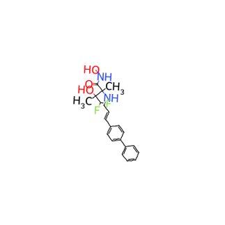 CC(NC/C=C/c1ccc(-c2ccccc2)cc1)(C(=O)NO)C(C)(O)C(F)F